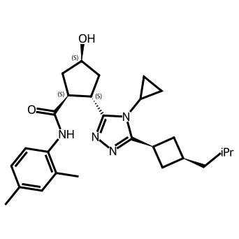 Cc1ccc(NC(=O)[C@H]2C[C@@H](O)C[C@@H]2c2nnc([C@H]3C[C@@H](CC(C)C)C3)n2C2CC2)c(C)c1